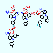 Cc1cc(OCC(=O)O)c2c3c(C(N)=O)cccc3n(Cc3cccc(F)c3)c2c1.Cc1cc(OCC(=O)O)c2c3c(C(N)=O)cccc3n(Cc3ccccc3)c2c1.Cc1cccc(Cn2c3cc(C)cc(OCC(=O)O)c3c3c(C(N)=O)cccc32)c1.NC(=O)c1cccc2c1c1c(OCC(=O)O)cc(-c3ccc(C(F)(F)F)cc3)cc1n2Cc1ccccc1